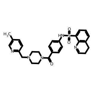 Cc1ccc(CN2CCN(C(=O)c3ccc(NS(=O)(=O)c4cccc5c4N=CCC5)cc3)CC2)nc1